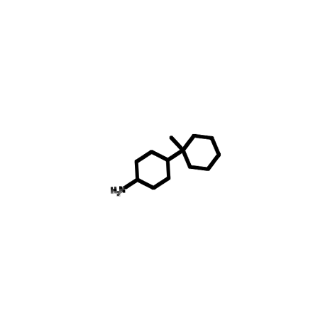 CC1(C2CCC(N)CC2)CCCCC1